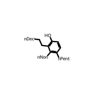 CCCCCCCCCCCCc1c(O)ccc(CCCCC)c1CCCCCCCCC